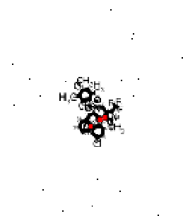 COc1cc(C)c(S(=O)(=O)N(Cc2c(C(F)(F)F)nn(C)c2Oc2ccc(Cl)cc2Cl)C(Cc2ccccc2)C(=O)O)c(C)c1C